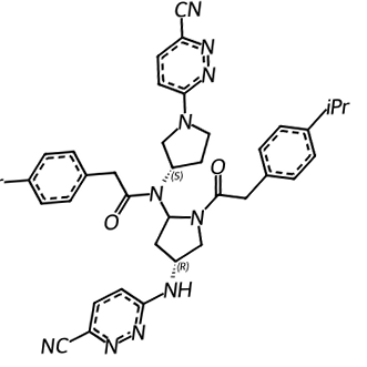 CC(C)c1ccc(CC(=O)N2C[C@H](Nc3ccc(C#N)nn3)CC2N(C(=O)Cc2ccc(C(C)C)cc2)[C@H]2CCN(c3ccc(C#N)nn3)C2)cc1